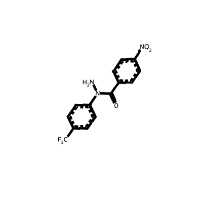 NN(C(=O)c1ccc([N+](=O)[O-])cc1)c1ccc(C(F)(F)F)cc1